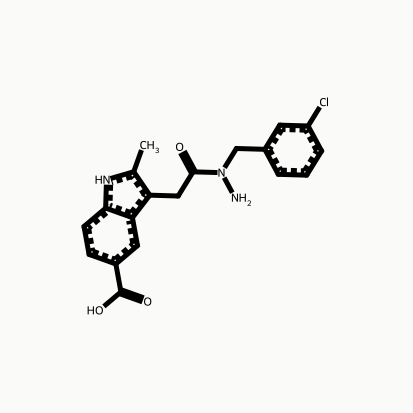 Cc1[nH]c2ccc(C(=O)O)cc2c1CC(=O)N(N)Cc1cccc(Cl)c1